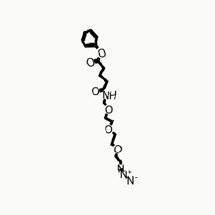 [N-]=[N+]=NCCOCCOCCOCNC(=O)CCCC(=O)Oc1ccccc1